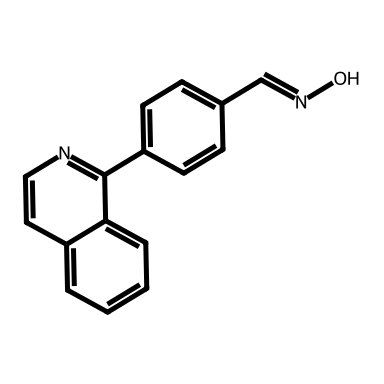 ON=Cc1ccc(-c2nccc3ccccc23)cc1